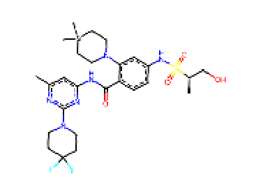 Cc1cc(NC(=O)c2ccc(NS(=O)(=O)[C@H](C)CO)cc2N2CC[Si](C)(C)CC2)nc(N2CCC(F)(F)CC2)n1